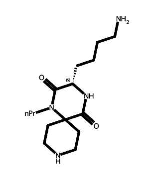 CCCN1C(=O)[C@H](CCCCN)NC(=O)C12CCNCC2